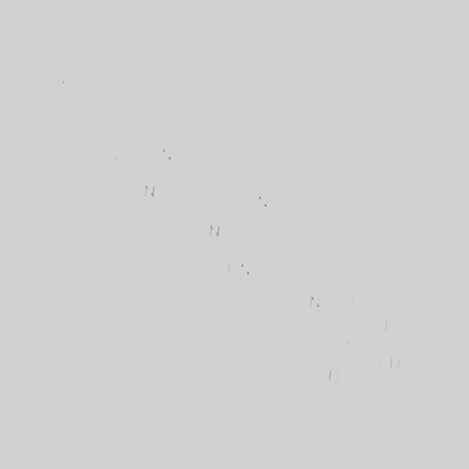 CC(C)(C)OC(=O)N1CCC(Nc2cncc(-c3cnc(Oc4cccc(Cl)c4)nc3)n2)CC1